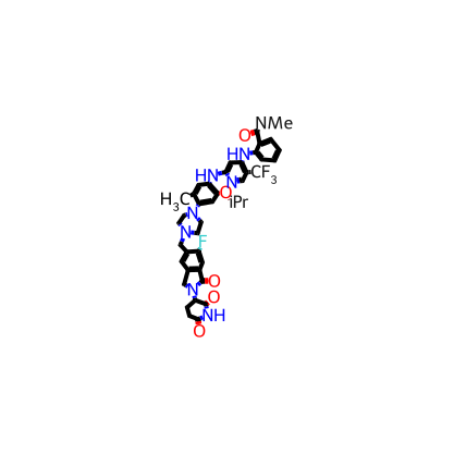 CNC(=O)c1ccccc1Nc1cc(Nc2cc(C)c(N3CCN(Cc4cc5c(cc4F)C(=O)N(C4CCC(=O)NC4=O)C5)CC3)cc2OC(C)C)ncc1C(F)(F)F